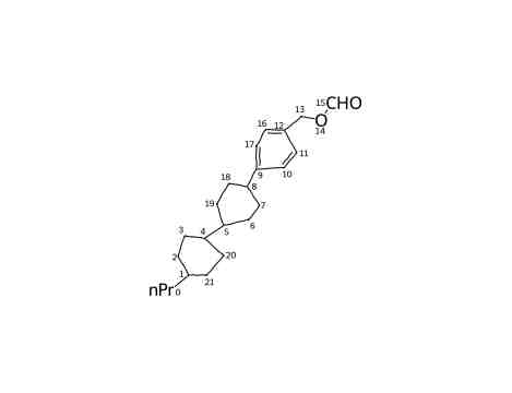 CCCC1CCC(C2CCC(c3ccc(COC=O)cc3)CC2)CC1